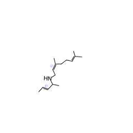 C/C=C/C(C)NC/C=C(/C)CCC=C(C)C